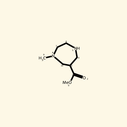 COC(=O)C1CNCCN(C)C1